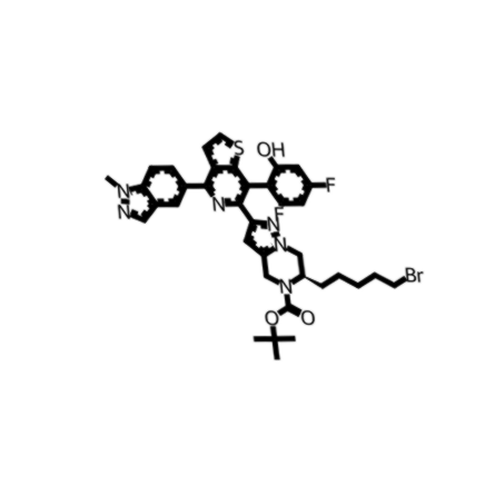 Cn1ncc2cc(-c3nc(-c4cc5n(n4)C[C@@H](CCCCCBr)N(C(=O)OC(C)(C)C)C5)c(-c4c(O)cc(F)cc4F)c4sccc34)ccc21